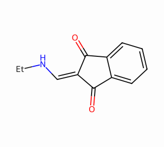 CCNC=C1C(=O)c2ccccc2C1=O